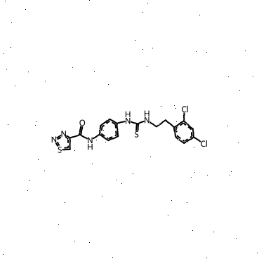 O=C(Nc1ccc(NC(=S)NCCc2ccc(Cl)cc2Cl)cc1)c1csnn1